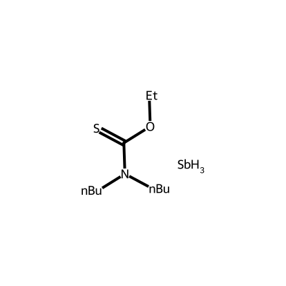 CCCCN(CCCC)C(=S)OCC.[SbH3]